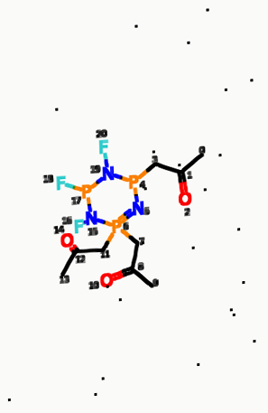 CC(=O)CP1N=P(CC(C)=O)(CC(C)=O)N(F)P(F)N1F